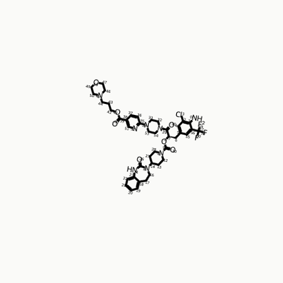 Nc1c(Cl)cc(C[C@@H](OC(=O)N2CCC(N3CCc4ccccc4NC3=O)CC2)C(=O)N2CCN(c3ccc(C(=O)OCCCN4CCOCC4)cn3)CC2)cc1C(F)(F)F